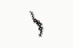 CCCCCCCc1ccc(-c2cc3cc(-c4ccc(CCCCC)cc4)ccc3o2)cc1